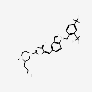 CN1CCN(C2=NC(=O)C(=Cc3ccc4c(cnn4Cc4ccc(C(F)(F)F)cc4C(F)(F)F)c3)S2)CC1CCO